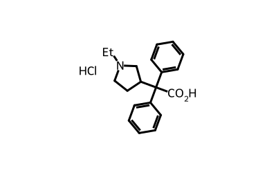 CCN1CCC(C(C(=O)O)(c2ccccc2)c2ccccc2)C1.Cl